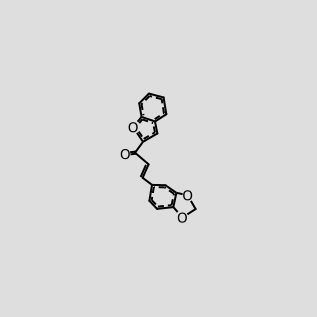 O=C(C=Cc1ccc2c(c1)OCO2)c1cc2ccccc2o1